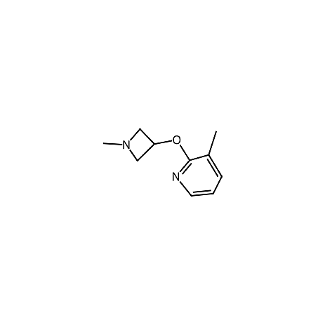 Cc1cccnc1OC1CN(C)C1